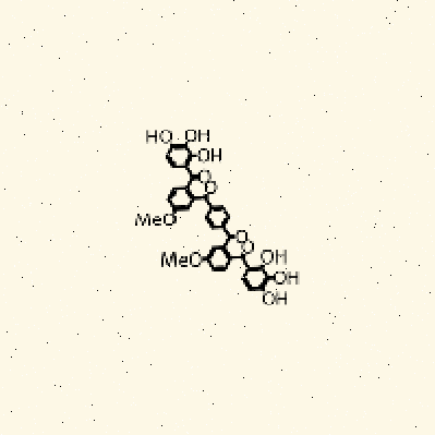 COc1ccc(C(=O)c2ccc(O)c(O)c2O)c(C(=O)c2ccc(C(=O)c3cc(OC)ccc3C(=O)c3ccc(O)c(O)c3O)cc2)c1